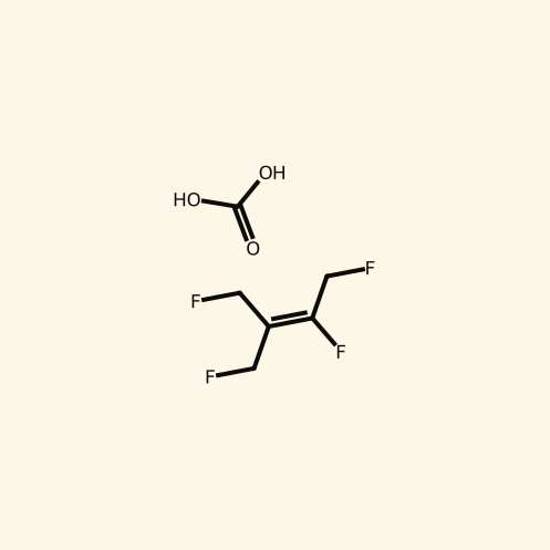 FCC(F)=C(CF)CF.O=C(O)O